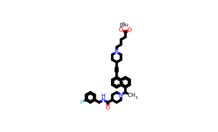 CC(c1cccc2c(C#CC3CCN(CCCCC(=O)OC(C)(C)C)CC3)cccc12)N1CCC(C(=O)NCc2cccc(F)c2)CC1